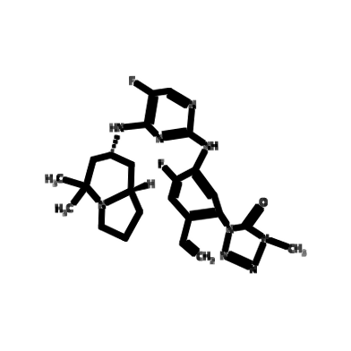 C=Cc1cc(F)c(Nc2ncc(F)c(N[C@@H]3C[C@@H]4CCCN4C(C)(C)C3)n2)cc1-n1nnn(C)c1=O